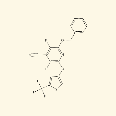 N#Cc1c(F)c(OCc2ccccc2)nc(Oc2csc(C(F)(F)F)c2)c1F